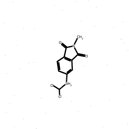 CN1C(=O)c2ccc([SiH2]C(Cl)Cl)cc2C1=O